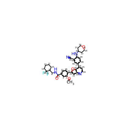 COc1cc(C(=O)NCC2CCCCC2(F)F)ccc1-c1cc2nccc(-c3ccc(NC4CCOCC4)c(C#N)c3)c2o1